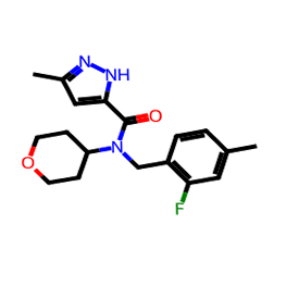 Cc1ccc(CN(C(=O)c2cc(C)n[nH]2)C2CCOCC2)c(F)c1